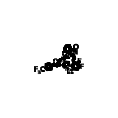 CCN1CCC(N(Cc2ccc(-c3ccc(C(F)(F)F)cc3)o2)C(=O)Cn2c(CCc3cccc(F)c3F)nc(=O)c3ccccc32)CC1